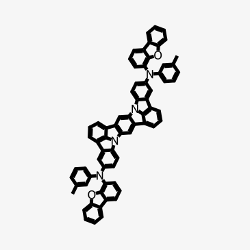 Cc1cccc(N(c2ccc3c(c2)c2cccc4c5cc6c(cc5n3c24)c2cccc3c4cc(N(c5cccc(C)c5)c5cccc7c5oc5ccccc57)ccc4n6c32)c2cccc3c2oc2ccccc23)c1